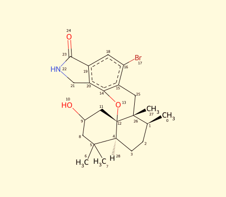 C[C@H]1CC[C@H]2C(C)(C)CC(O)C[C@]23Oc2c(c(Br)cc4c2CNC4=O)C[C@]13C